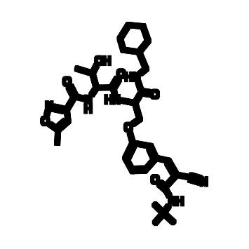 Cc1cc(C(=O)NC(C(=O)NC(COc2cccc(C=C(C#N)C(=O)NC(C)(C)C)c2)C(=O)NCC2CCCCC2)C(C)O)no1